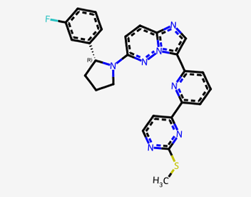 CSc1nccc(-c2cccc(-c3cnc4ccc(N5CCC[C@@H]5c5cccc(F)c5)nn34)n2)n1